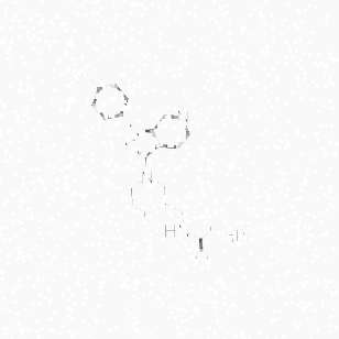 Cc1ccc(-n2nc(N3CCOC(CNC(=O)OC(C)C)C3)c3ccncc32)cc1